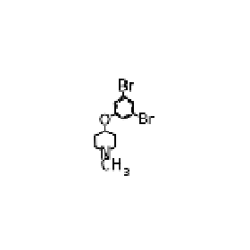 CN1CCC(Oc2cc(Br)cc(Br)c2)CC1